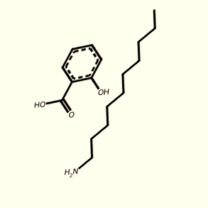 CCCCCCCCCCN.O=C(O)c1ccccc1O